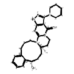 N[C@H]1CC[C@@H]2CCn3c(nc4[nH]nc(N5CCCCC5)c4c3=O)N2CCCc2ccccc21